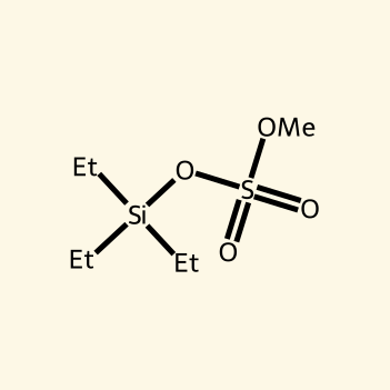 CC[Si](CC)(CC)OS(=O)(=O)OC